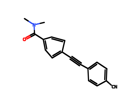 CN(C)C(=O)c1ccc(C#Cc2ccc(C#N)cc2)cc1